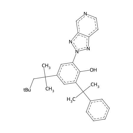 CC(C)(C)CC(C)(C)c1cc(-n2nc3ccncc3n2)c(O)c(C(C)(C)c2ccccc2)c1